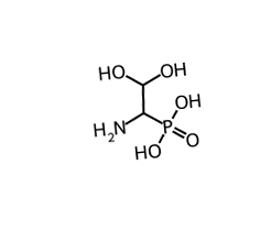 NC(C(O)O)P(=O)(O)O